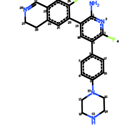 Nc1nc(F)c(-c2ccc(N3CCNCC3)cc2)cc1-c1cc2c(cc1F)C=NCC2